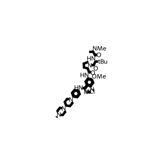 CNC(C)C(=O)NC(C(=O)N1CCCC1C(=O)Nc1cc2c(Nc3ccc(N4CCC(N5CCN(C)CC5)CC4)cc3)ncnc2cc1OC)C(C)(C)C.Cl